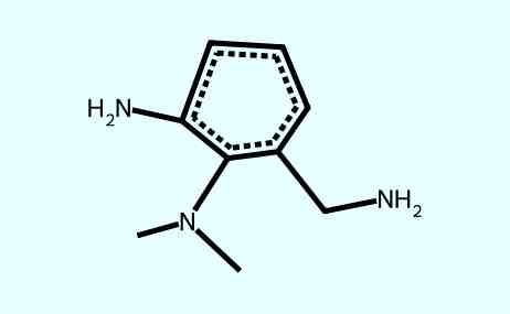 CN(C)c1c(N)cccc1CN